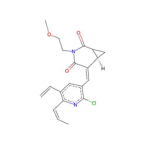 C=Cc1cc(/C=C2\C(=O)N(CCOC)C(=O)C3C[C@@H]23)c(Cl)nc1/C=C\C